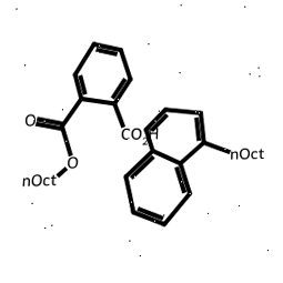 CCCCCCCCOC(=O)c1ccccc1C(=O)O.CCCCCCCCc1cccc2ccccc12